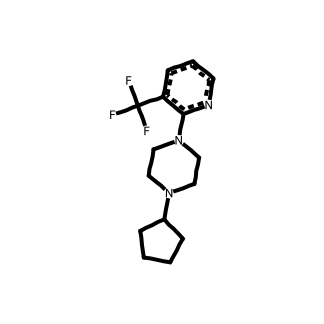 FC(F)(F)c1cccnc1N1CCN(C2CCCC2)CC1